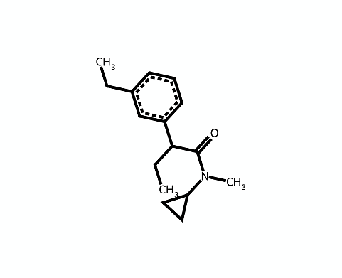 CCc1cccc(C(CC)C(=O)N(C)C2CC2)c1